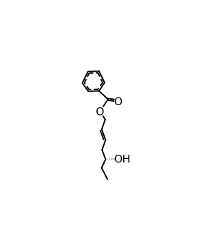 CC[C@@H](O)C/C=C/COC(=O)c1ccccc1